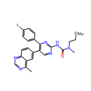 COCCN(C)C(=O)Nc1ncc(-c2ccc3ncnc(C)c3c2)c(-c2ccc(F)cc2)n1